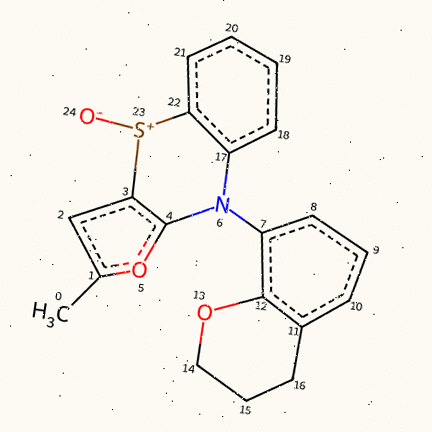 Cc1cc2c(o1)N(c1cccc3c1OCCC3)c1ccccc1[S+]2[O-]